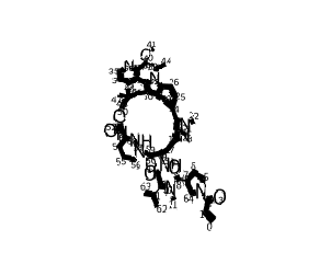 C=CC(=O)N1CC[C@H](C(=O)N(C)[C@H](C(=O)N[C@H]2Cc3cc(n(C)n3)-c3ccc4c(c3)c(c(-c3cccnc3[C@H](C)OC)n4CC)CC(C)(C)COC(=O)[C@@H]3CCCN(N3)C2=O)C(C)C)C1